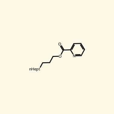 CCCCCCCCCCOC(=O)c1ccccn1